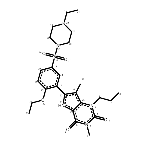 CCCn1c(=O)n(C)c(=O)c2[nH]c(-c3cc(S(=O)(=O)N4CCN(CC)CC4)ccc3OCC)c(I)c21